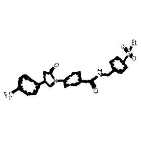 CCS(=O)(=O)c1ccc(CNC(=O)c2ccc(N3CC(c4ccc(C(F)(F)F)cc4)CC3=O)cc2)cc1